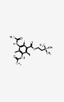 CC(=O)Nc1c(I)c(NC(C)=O)c(I)c(C(=O)OCC[N+](C)(C)C)c1I